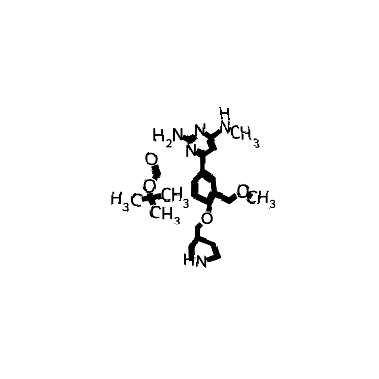 CC(C)(C)OC=O.CNc1cc(-c2ccc(OCC3CCNCC3)c(COC)c2)nc(N)n1